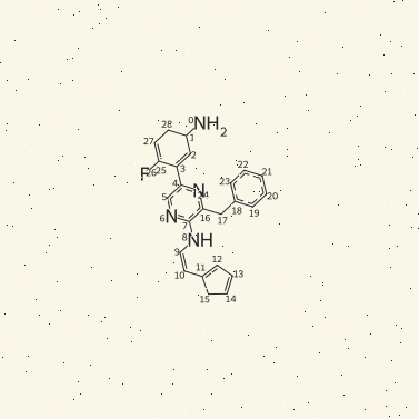 NC1C=C(c2cnc(N/C=C\C3=CC=CC3)c(Cc3ccccc3)n2)C(F)=CC1